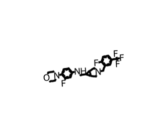 Fc1ccc(C(F)(F)F)cc1CN1CC2C(CNc3ccc(N4CCOCC4)c(F)c3)C2C1